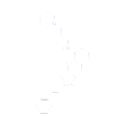 c1ccc(CSC2=NC3=NC4=C(CCCC4NCCCN4CCOCC4)CN3N2)cc1